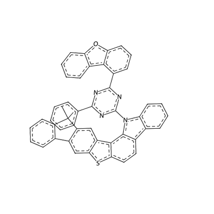 CC1(C)c2ccccc2-c2cc3sc4ccc5c6ccccc6n(-c6nc(-c7ccccc7)nc(-c7cccc8oc9ccccc9c78)n6)c5c4c3cc21